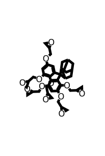 c1c(OCC2CO2)cc(C2(c3cc(OCC4CO4)cc(OCC4CO4)c3OCC3CO3)C3CC4CC(C3)CC2C4)c(OCC2CO2)c1OCC1CO1